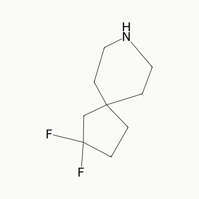 FC1(F)CCC2(CCNCC2)C1